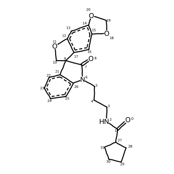 O=C(NCCCN1C(=O)C2(COc3cc4c(cc32)OCO4)c2ccccc21)C1CCCC1